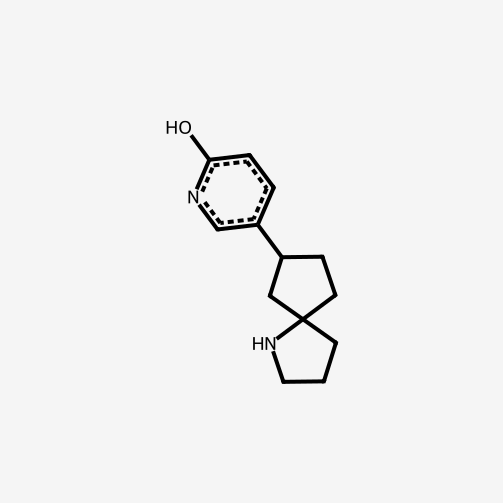 Oc1ccc(C2CCC3(CCCN3)C2)cn1